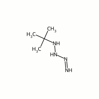 CC(C)(C)NNN=N